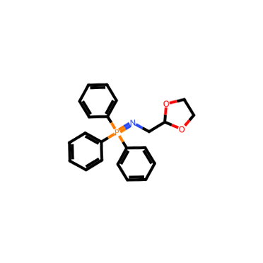 c1ccc(P(=NCC2OCCO2)(c2ccccc2)c2ccccc2)cc1